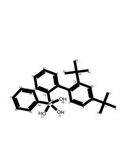 CC(C)(C)c1ccc(-c2ccccc2P(O)(O)(O)c2ccccc2)c(C(C)(C)C)c1